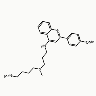 CNCCCCN(C)CCCNc1cc(-c2ccc(OC)cc2)nc2ccccc12